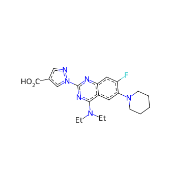 CCN(CC)c1nc(-n2cc(C(=O)O)cn2)nc2cc(F)c(N3CCCCC3)cc12